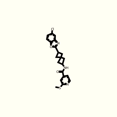 CSc1cc(C(=O)NC2CC3(C2)CC(c2nc4cc(Cl)ccc4o2)C3)ccn1